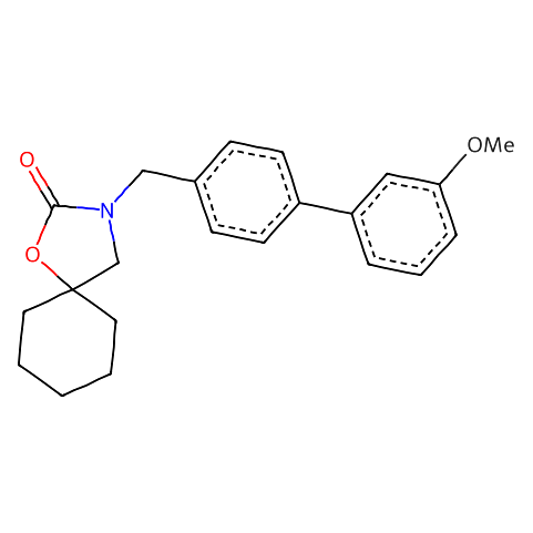 COc1cccc(-c2ccc(CN3CC4(CCCCC4)OC3=O)cc2)c1